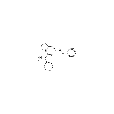 CN[C@H](C(=O)N1CCCC1C=NOCc1ccccc1)C1CCCCC1